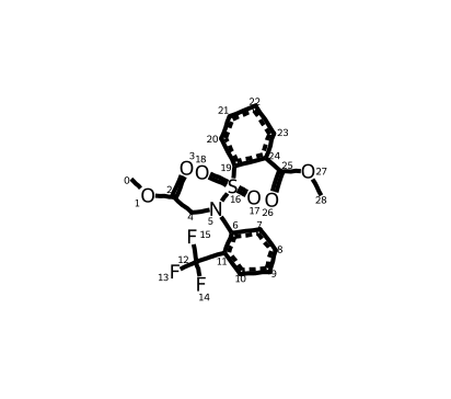 COC(=O)CN(c1ccccc1C(F)(F)F)S(=O)(=O)c1ccccc1C(=O)OC